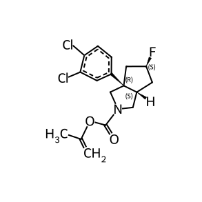 C=C(C)OC(=O)N1C[C@H]2C[C@H](F)C[C@@]2(c2ccc(Cl)c(Cl)c2)C1